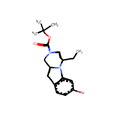 CCC1CN(C(=O)OC(C)(C)C)CC2Cc3ccc(Br)cc3N12